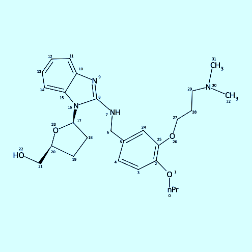 CCCOc1ccc(CNc2nc3ccccc3n2[C@H]2CC[C@@H](CO)O2)cc1OCCCN(C)C